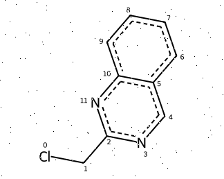 ClCc1ncc2ccccc2n1